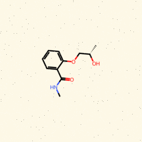 CNC(=O)c1ccccc1OC[C@H](C)O